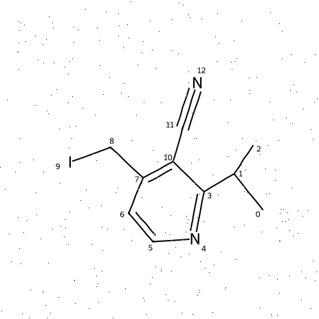 CC(C)c1nccc(CI)c1C#N